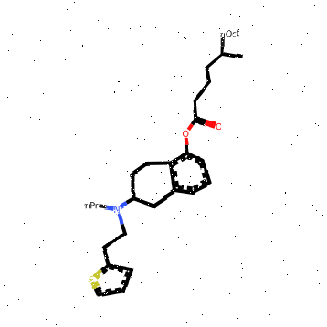 CCCCCCCCC(C)CCCC(=O)Oc1cccc2c1CCC(N(CCC)CCc1cccs1)C2